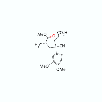 COC(=O)C(C)CC(C#N)(CCC(=O)O)c1ccc(OC)c(OC)c1